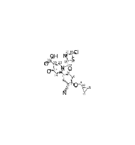 N#Cc1cc2c(cc1OCC1CC1)OC(c1ncc(Cl)s1)n1cc(C(=O)O)c(=O)cc1-2